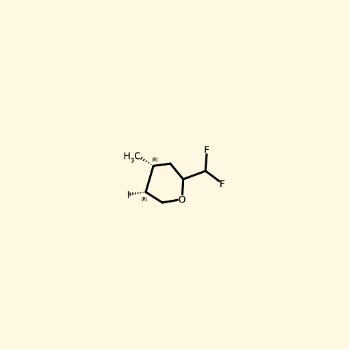 C[C@@H]1CC(C(F)F)OC[C@@H]1I